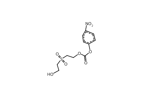 O=C(OCCS(=O)(=O)CCO)Oc1ccc([N+](=O)[O-])cc1